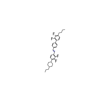 CCCCc1ccc(-c2ccc(/C=C/c3ccc(C4CCC(CCC)CC4)c(F)c3F)cc2)c(F)c1F